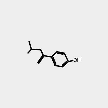 C=C(CC(C)C)c1ccc(O)cc1